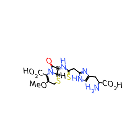 COC1=C(C(=O)O)N2C(=O)[C@@H](NC(=S)Cc3nc(CC(N)C(=O)O)c[nH]3)[C@@H]2SC1